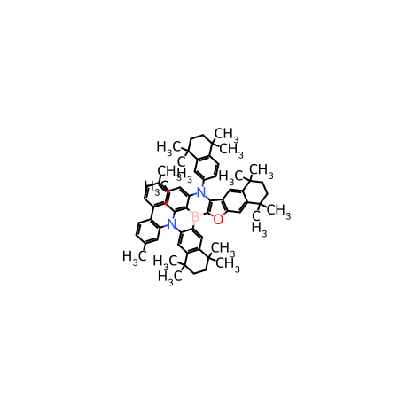 Cc1ccc(-c2ccc(C)cc2N2c3cc4c(cc3B3c5oc6cc7c(cc6c5N(c5ccc6c(c5)C(C)(C)CCC6(C)C)c5cc(C)cc2c53)C(C)(C)CCC7(C)C)C(C)(C)CCC4(C)C)cc1